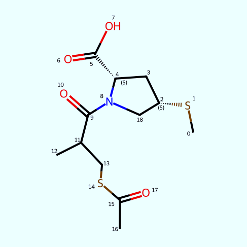 CS[C@H]1C[C@@H](C(=O)O)N(C(=O)C(C)CSC(C)=O)C1